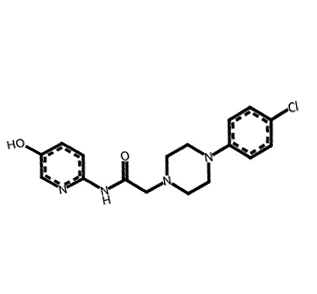 O=C(CN1CCN(c2ccc(Cl)cc2)CC1)Nc1ccc(O)cn1